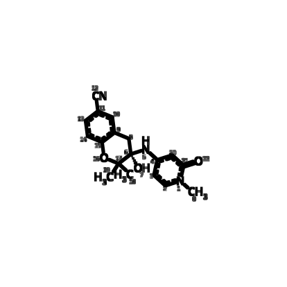 Cn1ccc(N[C@]2(O)Cc3cc(C#N)ccc3OC2(C)C)cc1=O